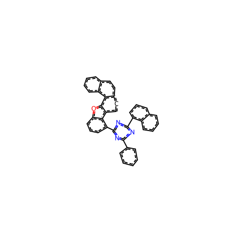 c1ccc(-c2nc(-c3cccc4ccccc34)nc(-c3cccc4oc5c(ccc6ccc7ccccc7c65)c34)n2)cc1